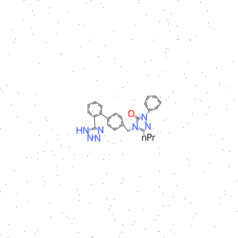 CCCc1nn(-c2ccccc2)c(=O)n1Cc1ccc(-c2ccccc2-c2nnn[nH]2)cc1